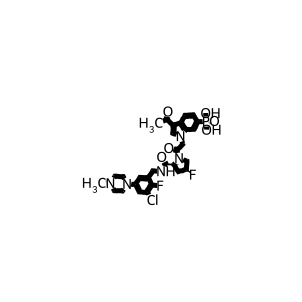 CC(=O)c1cn(CC(=O)N2C[C@H](F)C[C@H]2C(=O)NCc2cc(N3CCN(C)CC3)cc(Cl)c2F)c2cc(P(=O)(O)O)ccc12